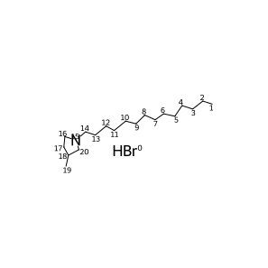 Br.CCCCCCCCCCCCCCN1CCC(C)C1